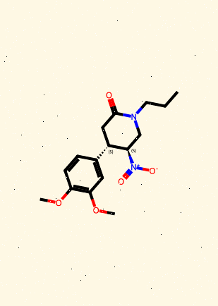 CCCN1C[C@@H]([N+](=O)[O-])[C@H](c2ccc(OC)c(OC)c2)CC1=O